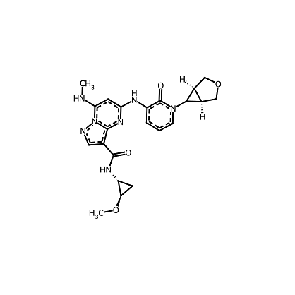 CNc1cc(Nc2cccn(C3[C@H]4COC[C@@H]34)c2=O)nc2c(C(=O)N[C@@H]3C[C@H]3OC)cnn12